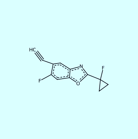 C#Cc1cc2nc(C3(F)CC3)oc2cc1F